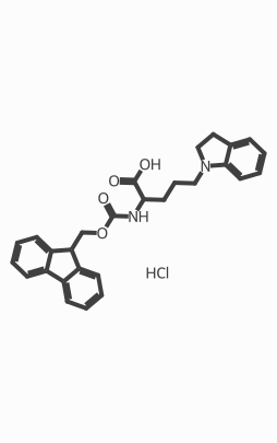 Cl.O=C(NC(CCCN1CCc2ccccc21)C(=O)O)OCC1c2ccccc2-c2ccccc21